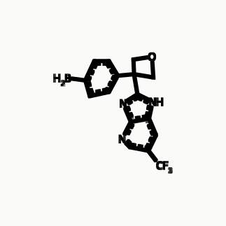 Bc1ccc(C2(c3nc4ncc(C(F)(F)F)cc4[nH]3)COC2)cc1